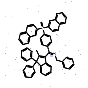 C=P(c1ccc(/C(=N/Cc2ccccc2)C2=C(C)C(c3ccccc3)(c3ccccc3)c3ccccc32)cc1)(c1ccc2ccccc2c1)c1ccc2ccccc2c1